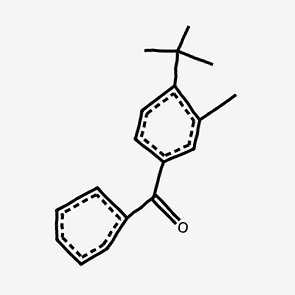 Cc1cc(C(=O)c2ccccc2)ccc1C(C)(C)C